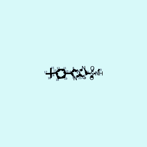 CNS(=O)(=O)c1nn2cc(-c3ccc(C(C)(C)C)cc3)nc2s1